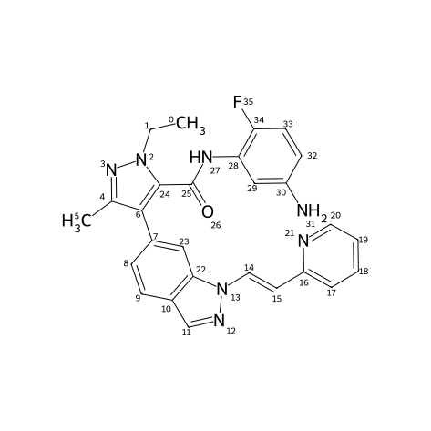 CCn1nc(C)c(-c2ccc3cnn(C=Cc4ccccn4)c3c2)c1C(=O)Nc1cc(N)ccc1F